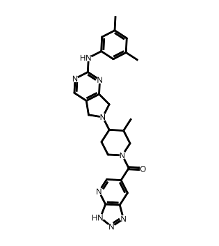 Cc1cc(C)cc(Nc2ncc3c(n2)CN(C2CCN(C(=O)c4cnc5[nH]nnc5c4)CC2C)C3)c1